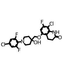 O=C1CCc2c(OCC3(O)CCN(c4c(F)cc(Cl)cc4F)CC3)cc(F)c(Cl)c2N1